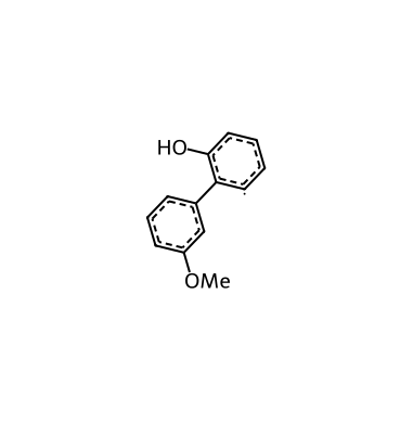 COc1cccc(-c2[c]cccc2O)c1